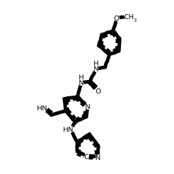 COc1ccc(CNC(=O)Nc2cc(C=N)c(Nc3ccncc3)cn2)cc1